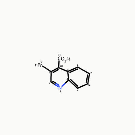 CCCc1cnc2ccccc2c1C(=O)O